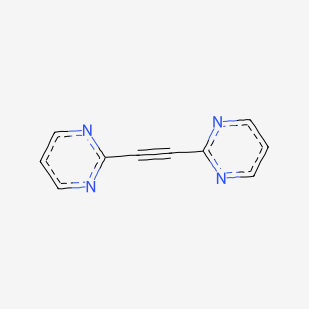 C(#Cc1ncccn1)c1ncccn1